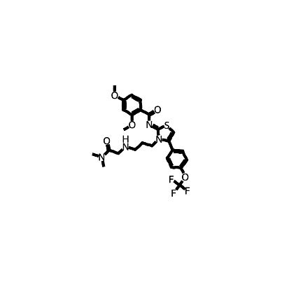 COc1ccc(C(=O)/N=c2\scc(-c3ccc(OC(F)(F)F)cc3)n2CCCNCC(=O)N(C)C)c(OC)c1